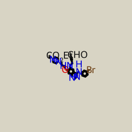 CCOC(=O)CN1CCN(CCCOc2cc3ncnc(Nc4cccc(Br)c4)c3cc2NCC#CC=O)CC1